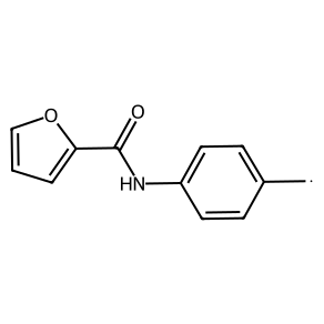 [CH2]c1ccc(NC(=O)c2ccco2)cc1